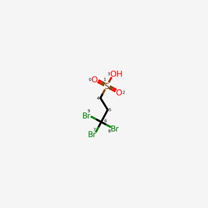 O=S(=O)(O)CCC(Br)(Br)Br